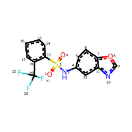 O=S(=O)(Nc1ccc2ocnc2c1)c1ccccc1C(F)(F)F